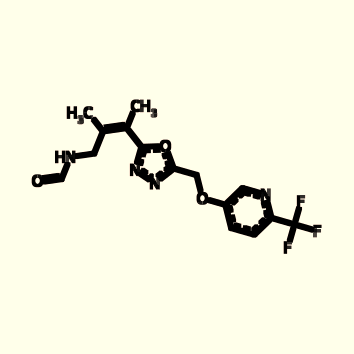 C/C(CNC=O)=C(\C)c1nnc(COc2ccc(C(F)(F)F)nc2)o1